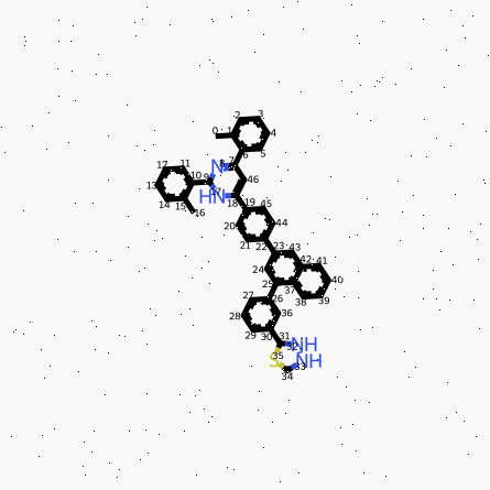 Cc1ccccc1C1=NC(c2ccccc2C)NC(c2ccc(-c3cc(-c4cccc(C5NNCS5)c4)c4ccccc4c3)cc2)=C1